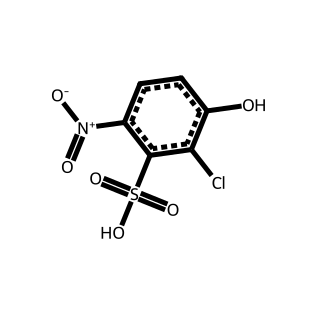 O=[N+]([O-])c1ccc(O)c(Cl)c1S(=O)(=O)O